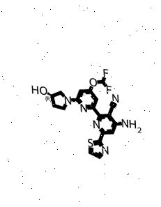 N#Cc1c(N)cc(-c2nccs2)nc1-c1cc(OC(F)F)cc(N2CC[C@@H](O)C2)n1